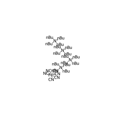 CCCC[N+](CCCC)(CCCC)CCCC.CCCC[N+](CCCC)(CCCC)CCCC.CCCC[N+](CCCC)(CCCC)CCCC.CCCC[N+](CCCC)(CCCC)CCCC.N#[C][Fe-4]([C]#N)([C]#N)([C]#N)([C]#N)[C]#N